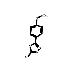 CCCCCCCCOc1ccc(-c2nnc(Br)s2)cc1